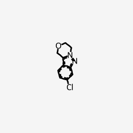 Clc1ccc2c3n(nc2c1)CCOC3